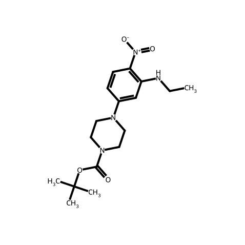 CCNc1cc(N2CCN(C(=O)OC(C)(C)C)CC2)ccc1[N+](=O)[O-]